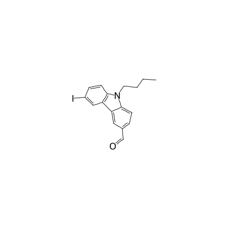 CCCCn1c2ccc(I)cc2c2cc(C=O)ccc21